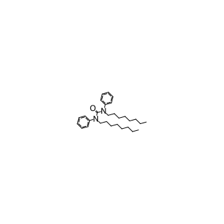 CCCCCCCCN(C(=O)N(CCCCCCCC)c1ccccc1)c1ccccc1